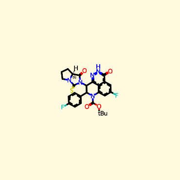 CC(C)(C)OC(=O)N1c2cc(F)cc3c(=O)[nH]nc(c23)C(N2C(=O)[C@@H]3CCCN3C2=S)C1c1ccc(F)cc1